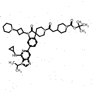 CC(C)n1cnc2cc(-c3ccc4c(c3)N(C3CC(N5CCCCC5)C3)C(=O)C43CCN(C(=O)CC4CCN(C(=O)OC(C)(C)C)CC4)CC3)nc(NC3CC3)c21